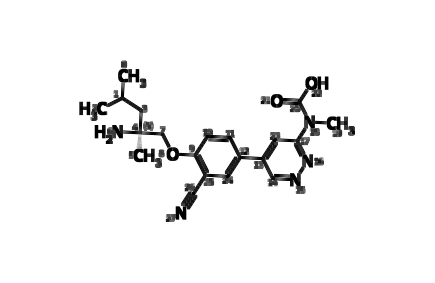 CC(C)C[C@](C)(N)COc1ccc(-c2cnnc(N(C)C(=O)O)c2)cc1C#N